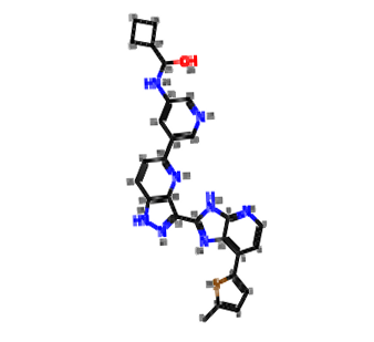 Cc1ccc(-c2ccnc3[nH]c(-c4n[nH]c5ccc(-c6cncc(NC(O)C7CCC7)c6)nc45)nc23)s1